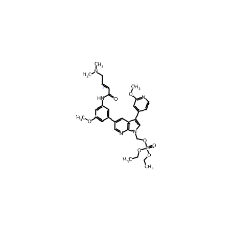 CCOP(=O)(OCC)OCn1cc(-c2ccnc(OC)c2)c2cc(-c3cc(NC(=O)/C=C/CN(C)C)cc(OC)c3)cnc21